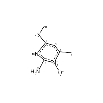 CSc1cc(C)[n+]([O-])c(N)n1